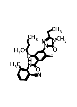 CCC[C@H](C)Oc1cc(-n2nc(CC)n(C)c2=O)c(F)cc1C(=O)Nc1c(C)cccc1C#N